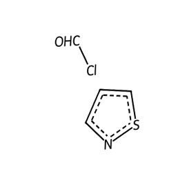 O=CCl.c1cnsc1